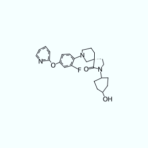 O=C1N(C2CCC(O)CC2)CC[C@]12CCCN(c1ccc(Oc3ccccn3)cc1F)C2